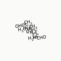 C/C(C=O)=C/N(C)C(=O)N(C)c1ccc(CC(N)C=O)cn1